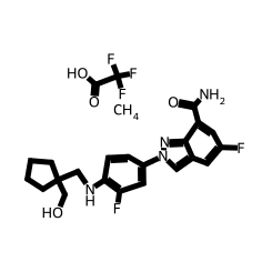 C.NC(=O)c1cc(F)cc2cn(-c3ccc(NCC4(CO)CCCC4)c(F)c3)nc12.O=C(O)C(F)(F)F